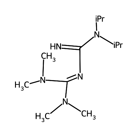 CC(C)N(C(=N)N=C(N(C)C)N(C)C)C(C)C